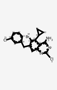 Nc1nc(Cl)nc2cc(Cc3cccc(Cl)c3)c(Br)c(C3CC3)c12